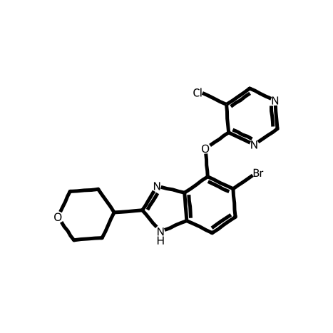 Clc1cncnc1Oc1c(Br)ccc2[nH]c(C3CCOCC3)nc12